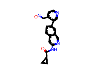 O=NCc1ccncc1-c1ccc2cc(NC(=O)C3CC3)ncc2c1